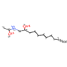 CCCCCCCCCCCCCCCCC(O)CNC(C)O